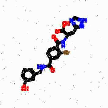 O=C(O)C(=Cc1nc[nH]n1)NC(=O)c1ccc(C(=O)NCc2cccc(O)c2)cc1Br